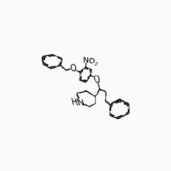 O=[N+]([O-])c1cc(OC(CCc2ccccc2)C2CCNCC2)ccc1OCc1ccccc1